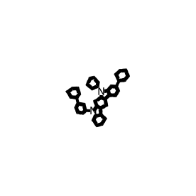 c1ccc(-c2cccc(-n3c4ccccc4c4cc5c6ccc(-c7ccccc7)cc6n(-c6ccccc6)c5cc43)c2)cc1